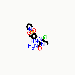 CCc1nc(C(N)=O)c(Nc2ccc(S(=O)(=O)N3CCCCC3)c(C)c2)nc1Cl